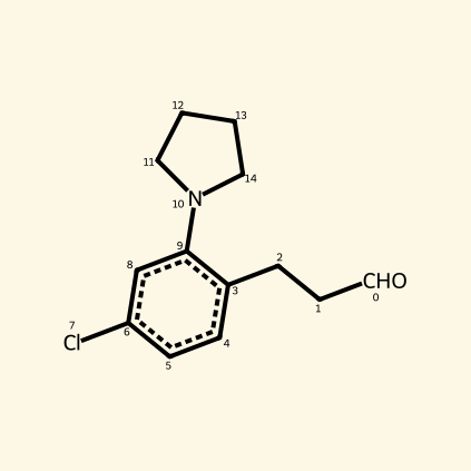 O=CCCc1ccc(Cl)cc1N1CCCC1